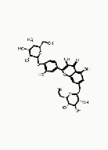 O=c1c(O)c(-c2ccc(O[C@@H]3O[C@H](CO)[C@@H](O)[C@H](O)[C@H]3O)c(O)c2)oc2cc(O[C@@H]3O[C@H](CO)[C@@H](O)[C@H](O)[C@H]3O)cc(O)c12